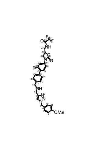 COc1ccc(Cn2cc(CNCc3ccc(-c4ccc(N5C[C@H](CNC(=O)C(F)F)OC5=O)cc4F)cc3)nn2)cc1